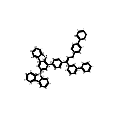 C1=CCCC(c2ccc(C/C=C(/c3ccc(-c4cc(-n5c6ccccc6c6ccccc65)cc5c4oc4ccccc45)cc3)c3cccc(-c4ccccc4)c3)cc2)=C1